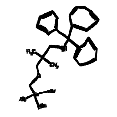 CCC[CH2][Sn]([CH2]CCC)([CH2]CCC)[CH2]OCC(C)(C)CNC(c1ccccc1)(c1ccccc1)c1ccccc1